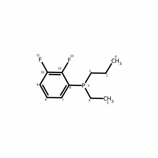 CCCP(CC)c1cccc(F)c1F